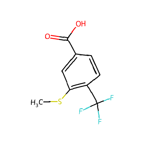 CSc1cc(C(=O)O)ccc1C(F)(F)F